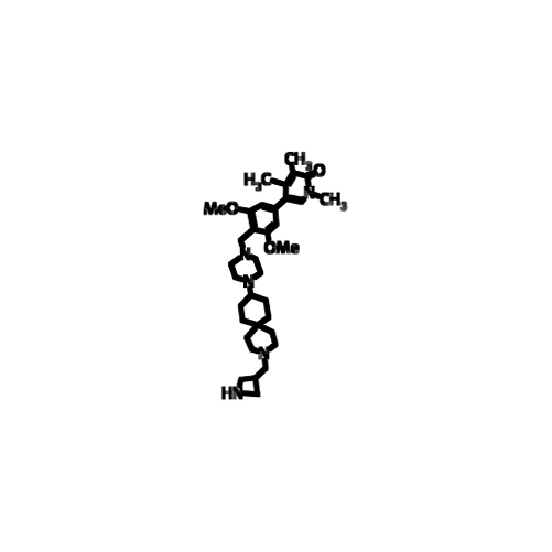 COc1cc(-c2cn(C)c(=O)c(C)c2C)cc(OC)c1CN1CCN(C2CCC3(CC2)CCN(CC2CNC2)CC3)CC1